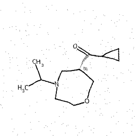 CC(C)N1CCOC[C@@H](C(=O)C2CC2)C1